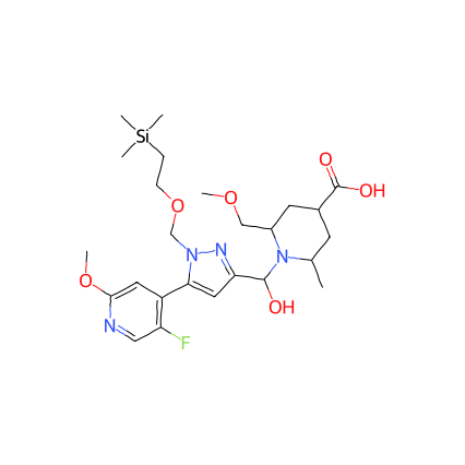 COCC1CC(C(=O)O)CC(C)N1C(O)c1cc(-c2cc(OC)ncc2F)n(COCC[Si](C)(C)C)n1